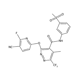 Cc1c(C(F)(F)F)nnc(Oc2ccc(C#N)c(F)n2)c1C(=O)Nc1cccc(S(C)(=O)=O)c1